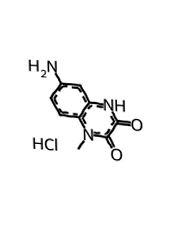 Cl.Cn1c(=O)c(=O)[nH]c2cc(N)ccc21